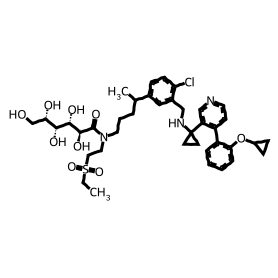 CCS(=O)(=O)CCN(CCCC(C)c1ccc(Cl)c(CNC2(c3cnccc3-c3ccccc3OC3CC3)CC2)c1)C(=O)[C@@H](O)[C@@H](O)[C@H](O)[C@@H](O)CO